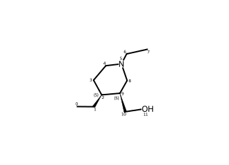 CC[C@H]1CCN(CC)C[C@H]1CO